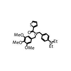 CCN(CC)c1ccc(CN(Cc2cc(OC)c(OC)c(OC)c2)C(=O)c2cccs2)cc1